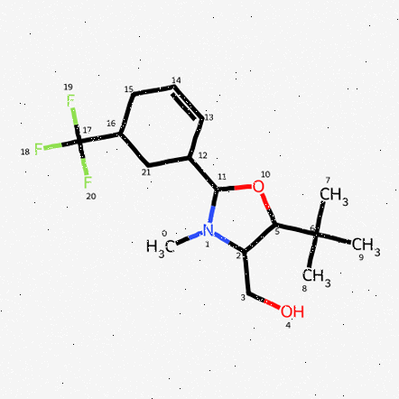 CN1C(CO)C(C(C)(C)C)OC1C1C=CCC(C(F)(F)F)C1